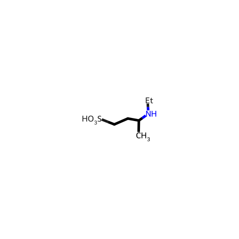 CCNC(C)CCS(=O)(=O)O